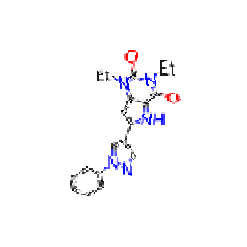 CCn1c(=O)c2[nH]c(-c3cnn(-c4ccccc4)c3)cc2n(CC)c1=O